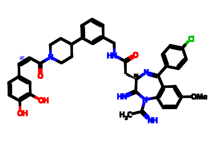 COc1ccc2c(c1)C(c1ccc(Cl)cc1)=N[C@@H](CC(=O)NCc1cccc(C3CCN(C(=O)/C=C\c4ccc(O)c(O)c4)CC3)c1)C(=N)N2C(C)=N